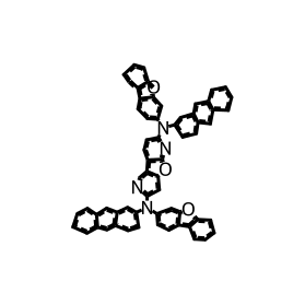 c1ccc2cc3cc(N(c4ccc5c(c4)oc4ccccc45)c4cc5oc6nc(N(c7ccc8cc9ccccc9cc8c7)c7ccc8c(c7)oc7ccccc78)ccc6c5cn4)ccc3cc2c1